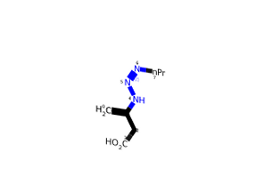 C=C(CC(=O)O)N/N=N\CCC